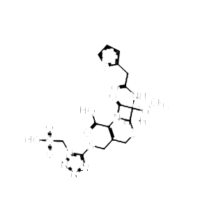 CO[C@@]1(NC(=O)Cc2cccs2)C(=O)N2C(C(=O)O)=C(CSc3nnnn3CS(=O)(=O)O)CS[C@@H]21